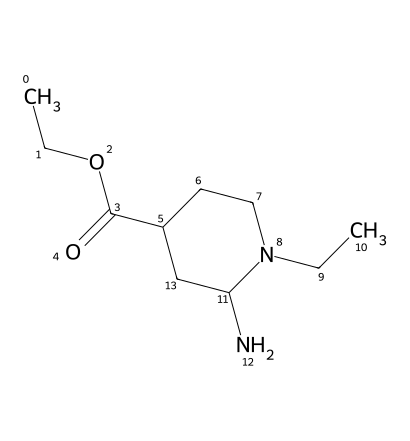 CCOC(=O)C1CCN(CC)C(N)C1